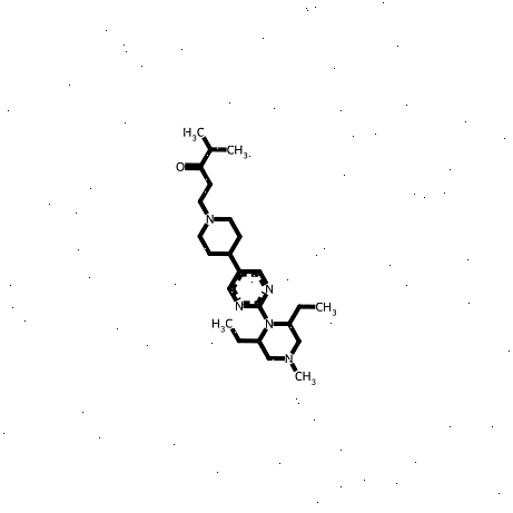 CCC1CN(C)CC(CC)N1c1ncc(C2CCN(CCC(=O)C(C)C)CC2)cn1